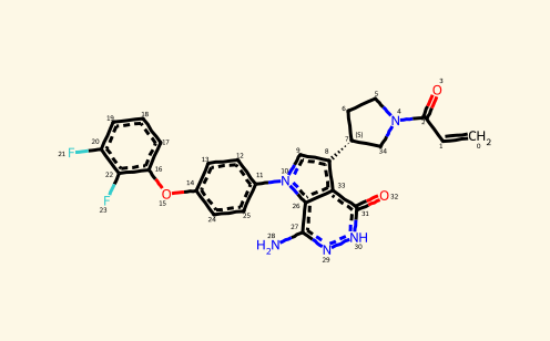 C=CC(=O)N1CC[C@@H](c2cn(-c3ccc(Oc4cccc(F)c4F)cc3)c3c(N)n[nH]c(=O)c23)C1